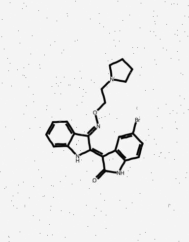 O=C1Nc2ccc(Br)cc2/C1=C1/Nc2ccccc2/C1=N\OCCN1CCCC1